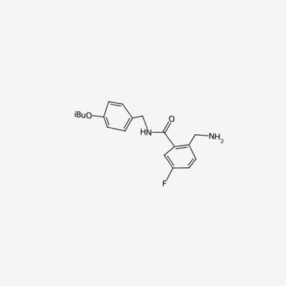 CC(C)COc1ccc(CNC(=O)c2cc(F)ccc2CN)cc1